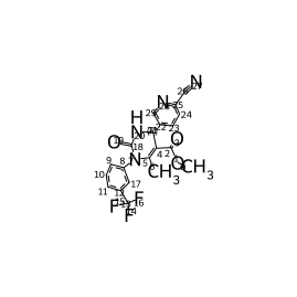 COC(=O)C1=C(C)N(c2cccc(C(F)(F)F)c2)C(=O)N[C@@H]1c1ccc(C#N)nc1